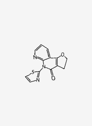 O=c1c2c(c3cccnc3n1-c1nccs1)OCC2